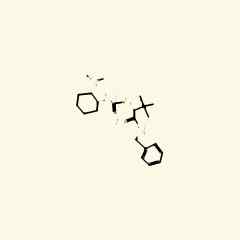 CN(C)[C@H]1CCCC[C@@H]1NC(=S)N[C@@H](C(=O)NCc1ccccc1)C(C)(C)C